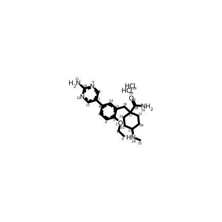 CCOc1ccc(-c2cnc(N)nc2)cc1CC1(C(N)=O)CCC(NC)CC1.Cl.Cl